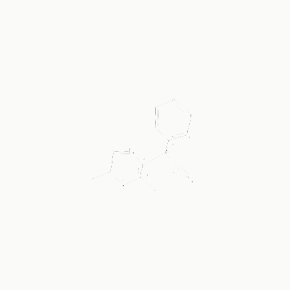 Cc1cnc(C(C#N)c2ccccc2)c(C)c1